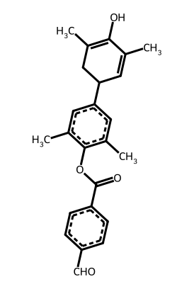 CC1=CC(c2cc(C)c(OC(=O)c3ccc(C=O)cc3)c(C)c2)CC(C)=C1O